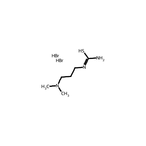 Br.Br.CN(C)CCCN=C(N)S